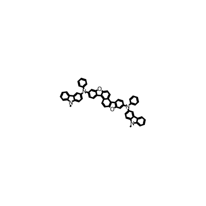 Cn1c2ccccc2c2cc(N(c3ccccc3)c3ccc4c(c3)oc3ccc5c(ccc6oc7cc(N(c8ccccc8)c8ccc9c(c8)c8ccccc8n9C)ccc7c65)c34)ccc21